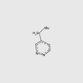 C[C](C)(C)[SnH2][c]1ccnnc1